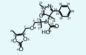 Cc1oc(=O)oc1COCC(C)(C)N(C(=O)O)C1(C)C(=O)N(C)N=C1c1ccccc1